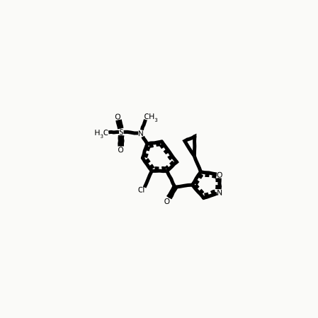 CN(c1ccc(C(=O)c2cnoc2C2CC2)c(Cl)c1)S(C)(=O)=O